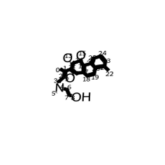 Cc1c(CN(C)CCO)oc2c1C(=O)C(=O)c1c-2ccc2c(C)cccc12